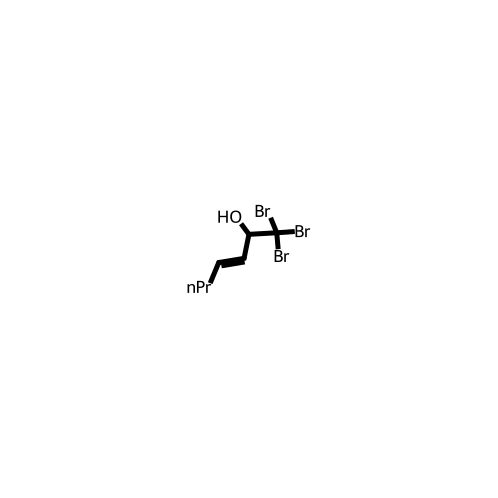 CCC/C=C/C(O)C(Br)(Br)Br